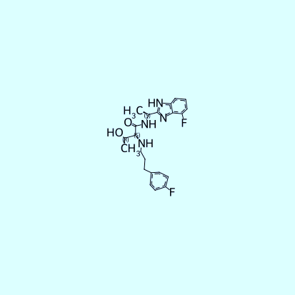 C[C@H](NC(=O)[C@@H](NCCCc1ccc(F)cc1)[C@@H](C)O)c1nc2c(F)cccc2[nH]1